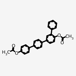 CC(=O)Oc1ccc(-c2ccc(-c3ccc(OC(C)=O)c(-c4ccccc4)c3)cc2)cc1